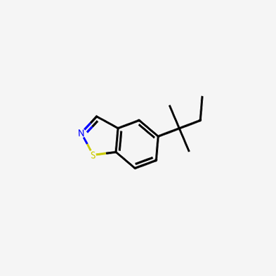 CCC(C)(C)c1ccc2sncc2c1